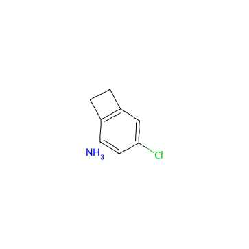 Clc1ccc2c(c1)CC2.N